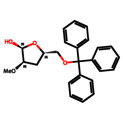 CO[C@@H]1C[C@@H](COC(c2ccccc2)(c2ccccc2)c2ccccc2)O[C@@H]1O